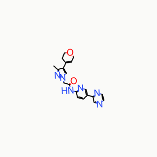 Cc1nn(CC(=O)Nc2ccc(-c3cnccn3)cn2)cc1C1=CCOCC1